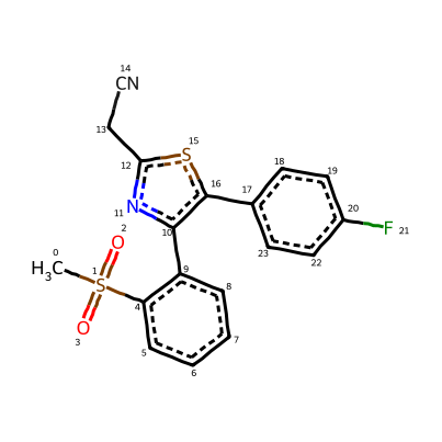 CS(=O)(=O)c1ccccc1-c1nc(CC#N)sc1-c1ccc(F)cc1